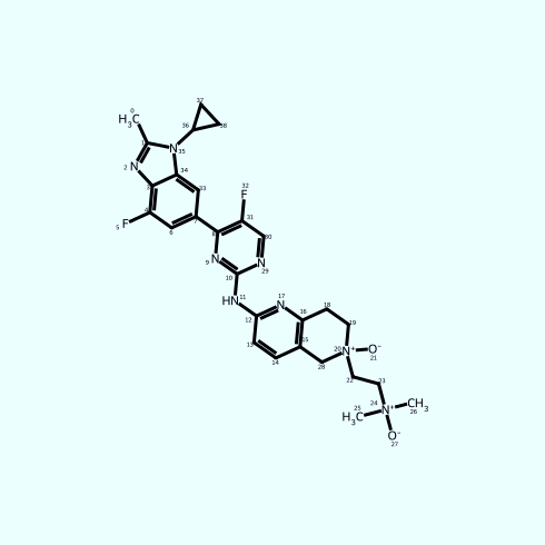 Cc1nc2c(F)cc(-c3nc(Nc4ccc5c(n4)CC[N+]([O-])(CC[N+](C)(C)[O-])C5)ncc3F)cc2n1C1CC1